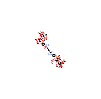 CC(=O)OC[C@H]1O[C@@H](Sc2ccc(NC(=O)CCCCCCC(=O)Nc3ccc(S[C@@H]4O[C@H](COC(C)=O)[C@@H](O[C@@H]5O[C@H](COC(C)=O)[C@@H](OC(C)=O)[C@H](OC(C)=O)[C@H]5OC(C)=O)[C@H](OC(C)=O)[C@H]4OC(C)=O)cc3)cc2)[C@H](OC(C)=O)[C@@H](OC(C)=O)[C@@H]1O[C@@H]1O[C@H](COC(C)=O)[C@@H](OC(C)=O)[C@H](OC(C)=O)[C@H]1OC(C)=O